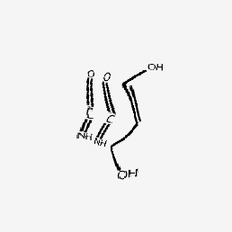 N=C=O.N=C=O.OC=CCO